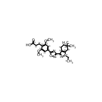 CCn1nc(-c2noc(-c3cc(OC)c(CCC(=O)O)c(OC)c3)n2)c2c1CC(C)(C)CC2